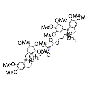 COc1cc2c(cc1OC)[C@H](c1cc(OC)c(OC)c(OC)c1)[N@@+](C)(CCCOC(=O)/C=C(\Cl)C(=O)OCCC[N@+]1(C)CCc3cc(OC)c(OC)cc3[C@H]1Cc1cc(OC)c(OC)c(OC)c1)CC2